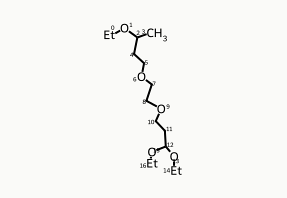 CCOC(C)CCOCCOCCC(OCC)OCC